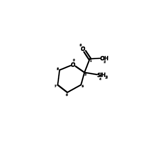 O=C(O)C1([SiH3])CCCCO1